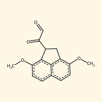 COc1ccc2ccc(OC)c3c2c1CC3C(=O)C=O